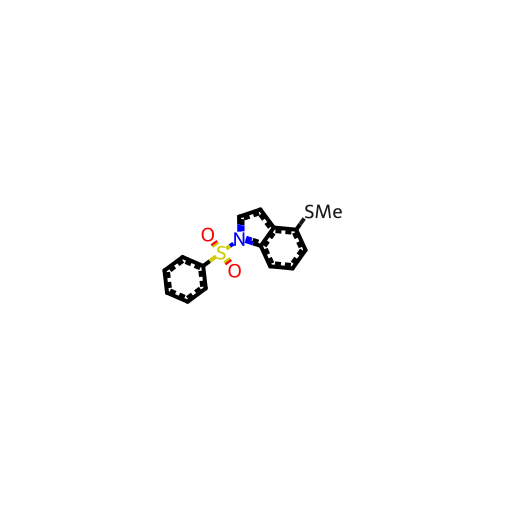 CSc1cccc2c1ccn2S(=O)(=O)c1ccccc1